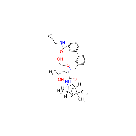 C[C@@H]1[C@@H](NC(=O)[C@@H]2[C@H]([C@H](C)O)[C@H](CO)ON2Cc2cccc(-c3cccc(C(=O)NCC4CC4)c3)c2)C[C@H]2C[C@@H]1C2(C)C